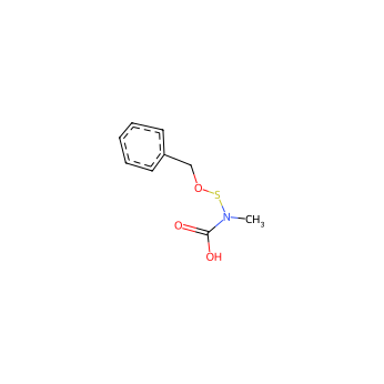 CN(SOCc1ccccc1)C(=O)O